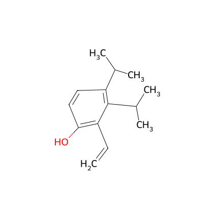 C=Cc1c(O)ccc(C(C)C)c1C(C)C